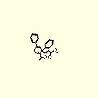 COC(=O)/C=C/C1(c2ccccc2)C=C(c2ccccc2)CCN1C(C)=O